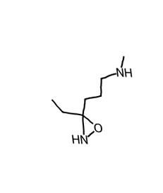 CCC1(CCCNC)NO1